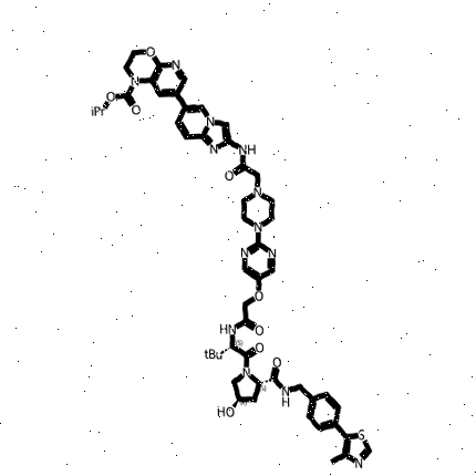 Cc1ncsc1-c1ccc(CNC(=O)[C@@H]2C[C@@H](O)CN2C(=O)[C@@H](NC(=O)COc2cnc(N3CCN(CC(=O)Nc4cn5cc(-c6cnc7c(c6)N(C(=O)OC(C)C)CCO7)ccc5n4)CC3)nc2)C(C)(C)C)cc1